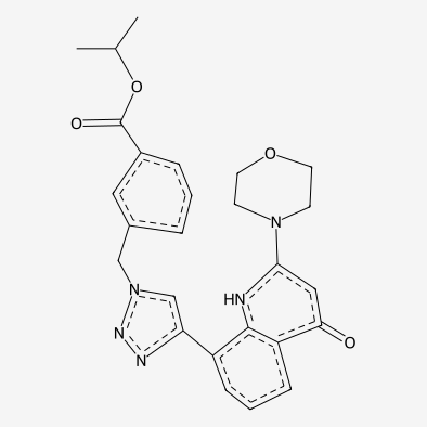 CC(C)OC(=O)c1cccc(Cn2cc(-c3cccc4c(=O)cc(N5CCOCC5)[nH]c34)nn2)c1